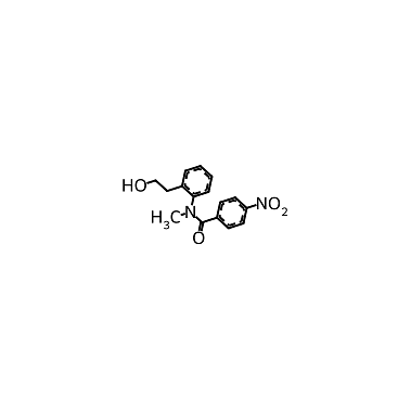 CN(C(=O)c1ccc([N+](=O)[O-])cc1)c1ccccc1CCO